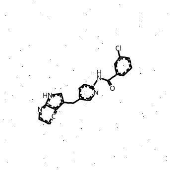 O=C(Nc1ccc(Cc2c[nH]c3ncccc23)cn1)c1cccc(Cl)c1